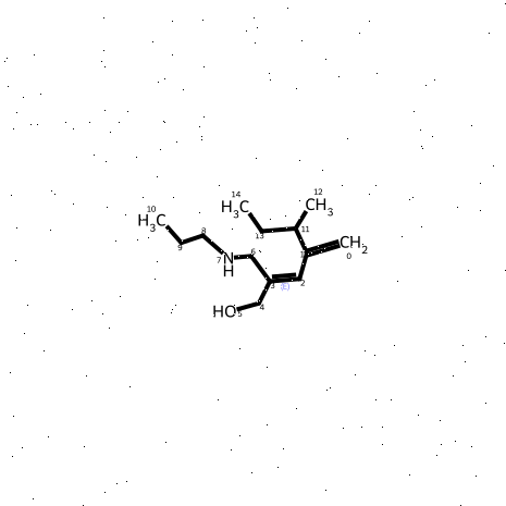 C=C(/C=C(/CO)CNCCC)C(C)CC